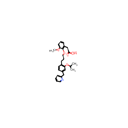 COc1cccc(CC(=O)O)c1OCCCc1ccc(Cc2ccccn2)cc1OC(C)C